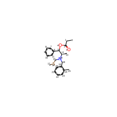 CCC(=O)OC(c1ccccc1)[C@@H](C)N(CSC)Cc1ccccc1C